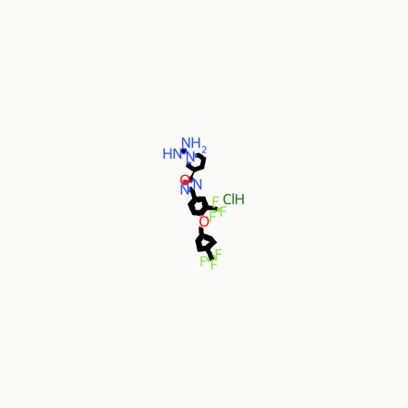 Cl.N=C(N)N1CCC[C@@H](c2nc(-c3ccc(OCc4ccc(C(F)(F)F)cc4)c(C(F)(F)F)c3)no2)C1